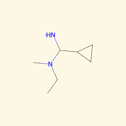 CCN(C)C([NH])C1CC1